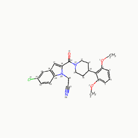 COc1cccc(OC)c1C1CCN(C(=O)c2cc3cc(Cl)ccc3n2CC#N)CC1